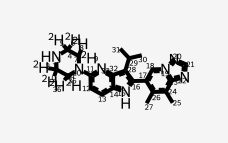 [2H]C1([2H])NC([2H])([2H])C([2H])([2H])N(c2ccc3[nH]c(-c4cn5ncnc5c(C)c4C)c(C(C)C)c3n2)C1([2H])[2H]